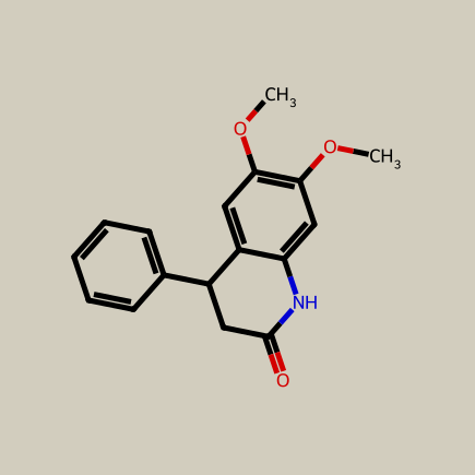 COc1cc2c(cc1OC)C(c1ccccc1)CC(=O)N2